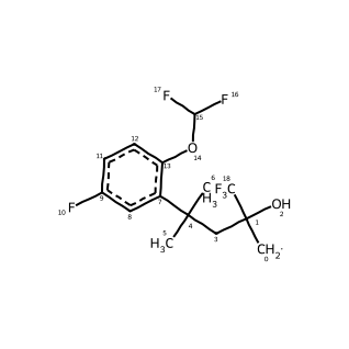 [CH2]C(O)(CC(C)(C)c1cc(F)ccc1OC(F)F)C(F)(F)F